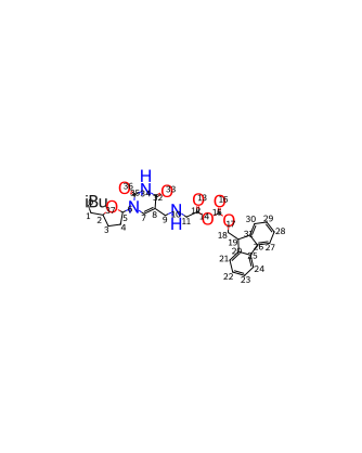 CCC(C)CC1CCC(n2cc(CNCC(=O)OC(=O)OCC3c4ccccc4-c4ccccc43)c(=O)[nH]c2=O)O1